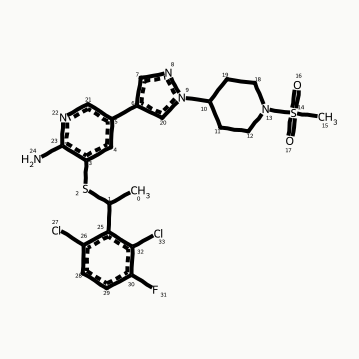 CC(Sc1cc(-c2cnn(C3CCN(S(C)(=O)=O)CC3)c2)cnc1N)c1c(Cl)ccc(F)c1Cl